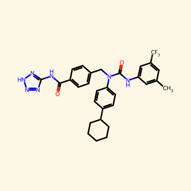 Cc1cc(NC(=O)N(Cc2ccc(C(=O)Nc3nn[nH]n3)cc2)c2ccc(C3CCCCC3)cc2)cc(C(F)(F)F)c1